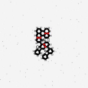 c1ccc(N(c2ccc(-c3cccc4c3sc3ccccc34)cc2)c2ccccc2-c2cccc3cccc(C4CCCCC4)c23)c(-c2cccc3c2oc2ccccc23)c1